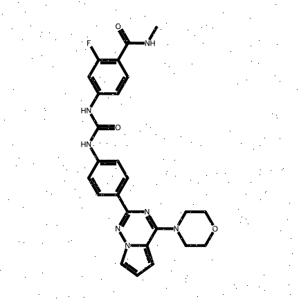 CNC(=O)c1ccc(NC(=O)Nc2ccc(-c3nc(N4CCOCC4)c4cccn4n3)cc2)cc1F